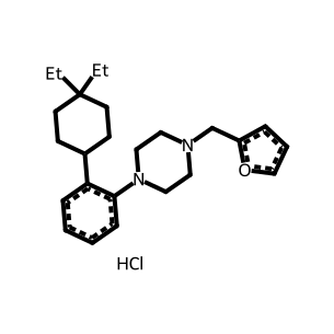 CCC1(CC)CCC(c2ccccc2N2CCN(Cc3ccco3)CC2)CC1.Cl